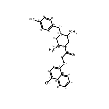 CC1CN(C(=O)COc2ccc(Cl)c3ccccc23)C(C)CN1Cc1ccc(F)cc1